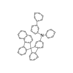 c1ccc(-c2cccc(N(c3ccccc3)c3ccc4c(c3)C3(c5ccccc5-4)c4ccccc4-c4c3ccc3ccccc43)c2)cc1